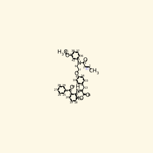 C/C=C/C(=O)N(CCOc1ccc(C[C@H](Nc2ccccc2C(=O)c2ccccc2)C(=O)O)cc1)c1cccc(OC)c1